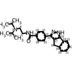 CC(C)N(CCNC(=O)c1ccc(-c2n[nH]c3c2Cc2ccccc2-3)cc1)C(C)C